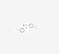 COc1ccc(N)cc1S(=O)(=O)Nc1ccc(C(C)(C)C)cc1